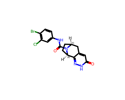 O=C(Nc1ccc(Br)c(Cl)c1)N1[C@H]2CC[C@@H]1c1n[nH]c(=O)cc1C2